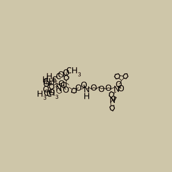 CC[C@H](C(=O)N1CCCC[C@H]1C(=O)O[C@H](CCc1ccc(OC)c(OC)c1)c1cccc(OCC(=O)NCCOCCOCCOCCN(Cc2cccc3c2ccn3Cc2ccccc2)C(=O)OCC2c3ccccc3-c3ccccc32)c1)c1cc(OC)c(OC)c(OC)c1